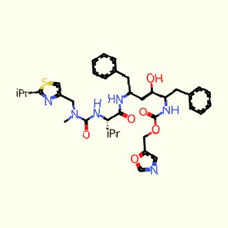 CC(C)c1nc(CN(C)C(=O)N[C@H](C(=O)NC(Cc2ccccc2)CC(O)C(Cc2ccccc2)NC(=O)OCc2cnco2)C(C)C)cs1